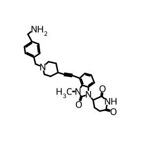 Cn1c(=O)n(C2CCC(=O)NC2=O)c2cccc(C#CC3CCN(Cc4ccc(CN)cc4)CC3)c21